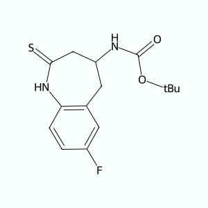 CC(C)(C)OC(=O)NC1CC(=S)Nc2ccc(F)cc2C1